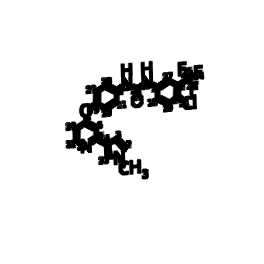 Cn1ccc(-c2cc(Oc3ccc(NC(=O)Nc4ccc(Cl)c(C(F)(F)F)c4)cc3)ccn2)c1